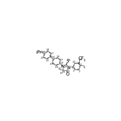 Cc1ccc(N2C(=O)C(C)(C)N(c3ccc(-c4ccc(C(C)C)cc4)cc3)C2=S)cc1C(F)(F)F